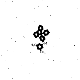 Cc1cc(C)cc(Nc2ccc(C3(c4ccccc4)c4ccccc4-c4ccccc43)cc2)c1